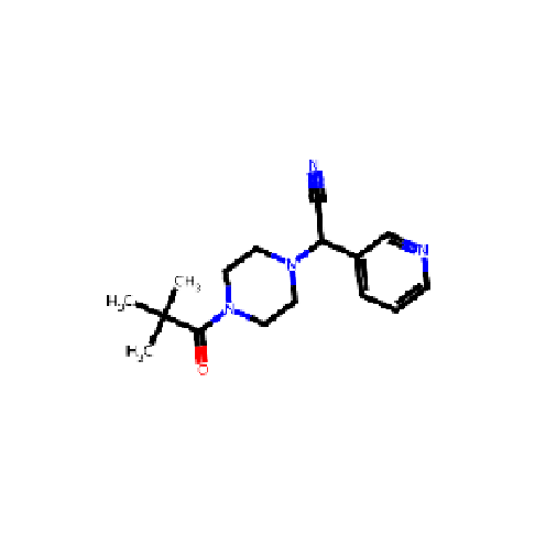 CC(C)(C)C(=O)N1CCN(C(C#N)c2cccnc2)CC1